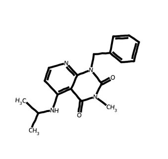 CC(C)Nc1ccnc2c1c(=O)n(C)c(=O)n2Cc1ccccc1